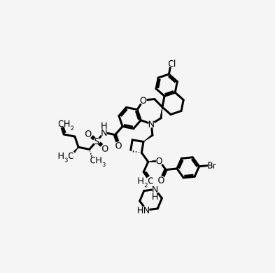 C1CNCCN1.C=CC[C@H](C)[C@@H](C)S(=O)(=O)NC(=O)c1ccc2c(c1)N(C[C@@H]1CC[C@H]1[C@H](C=C)OC(=O)c1ccc(Br)cc1)C[C@@]1(CCCc3cc(Cl)ccc31)CO2